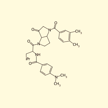 Cc1ccc(C(=O)N2CC(=O)C3C2CCN3C(=O)C(CC(C)C)NC(=O)c2ccc(N(C)C)cc2)cc1C